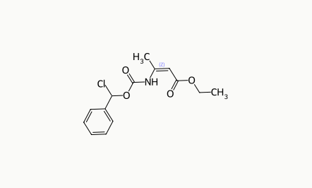 CCOC(=O)/C=C(/C)NC(=O)OC(Cl)c1ccccc1